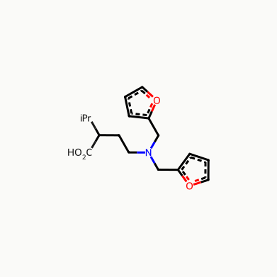 CC(C)C(CCN(Cc1ccco1)Cc1ccco1)C(=O)O